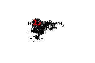 CC[C@H](C)[C@H](NC(C)=O)C(=O)N[C@@H](CCCCN)C(=O)N1CCN(c2ccc3ncn(CC(=O)N[C@@H](CCCNC(=N)N)C(=O)N[C@@H](Cc4c[nH]cn4)C(=O)N[C@@H](Cc4ccc(O)cc4)C(=O)N[C@@H](CC(C)C)C(=O)N[C@@H](CC(N)=O)C(=O)N[C@@H](Cc4c[nH]c5ccccc45)C(=O)N[C@H](C(C)=O)C(C)C)c(=O)c3c2)CC1